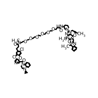 CC#CCn1c(N2CCC[C@H](NC(=O)CCOCCOCCOCCOCCOCCOCCN(C)C(=O)CCc3cc(Cl)c(Oc4ccncc4C(=O)N4CCN(C5CC5)c5ccccc54)cc3Cl)C2)nc2c1c(=O)n(Cc1nc(C)c3ccccc3n1)c(=O)n2C